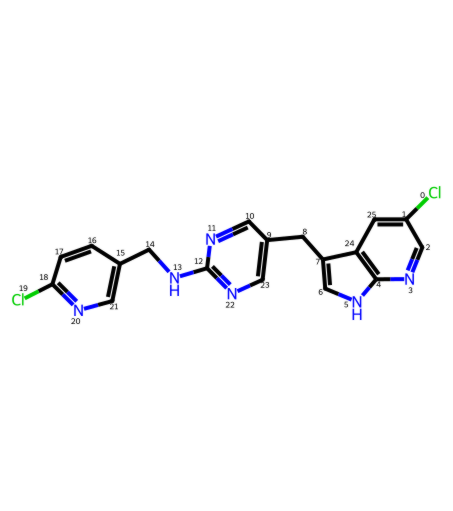 Clc1cnc2[nH]cc(Cc3cnc(NCc4ccc(Cl)nc4)nc3)c2c1